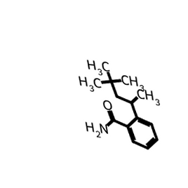 CC(CC(C)(C)C)c1ccccc1C(N)=O